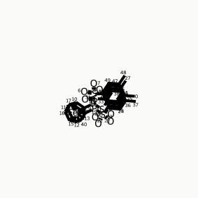 Cc1ccc(S(=O)(=O)P([C]23[CH]4[CH]5[CH]6[CH]2[Fe]56432789[CH]3[CH]2[CH]7[C]8(P(S(=O)(=O)c2ccc(C)cc2)S(=O)(=O)c2ccc(C)cc2)[CH]39)S(=O)(=O)c2ccc(C)cc2)cc1